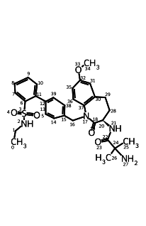 CCNS(=O)(=O)c1ccccc1-c1ccc(CN2C(=O)[C@H](NC(=O)C(C)(C)N)CCc3cc(OC)ccc32)cc1